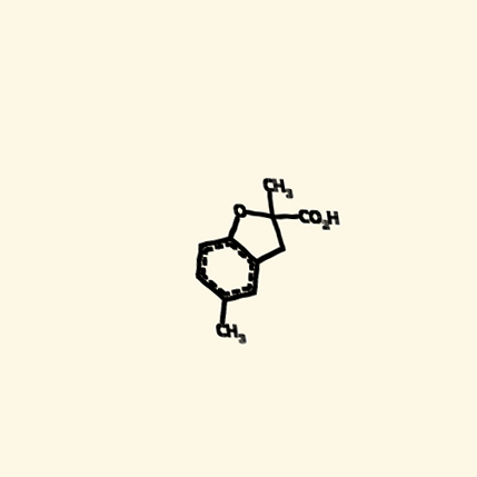 Cc1ccc2c(c1)CC(C)(C(=O)O)O2